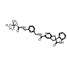 CC(C)(C)OC(=O)NCc1cccc(CNC(=O)c2cc3c(cn2)CC2(C3)C(=O)Nc3ccccc32)c1